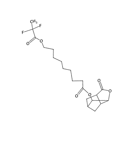 CC(F)(F)C(=O)OCCCCCCCCC(=O)OC1C2CC3C(=O)OC1C3C2